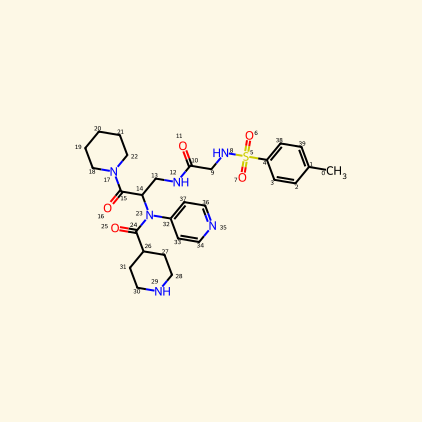 Cc1ccc(S(=O)(=O)NCC(=O)NCC(C(=O)N2CCCCC2)N(C(=O)C2CCNCC2)c2ccncc2)cc1